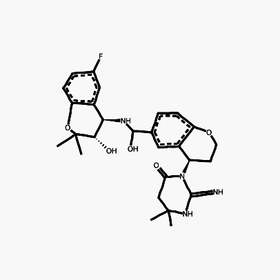 CC1(C)CC(=O)N([C@@H]2CCOc3ccc(C(O)N[C@@H]4c5cc(F)ccc5OC(C)(C)[C@H]4O)cc32)C(=N)N1